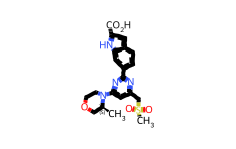 C[C@H]1COCCN1c1cc(CS(C)(=O)=O)nc(-c2ccc3cc(C(=O)O)[nH]c3c2)n1